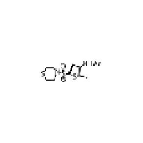 CC(=O)Nc1cc(S(=O)(=O)N2CCSCC2)sc1C